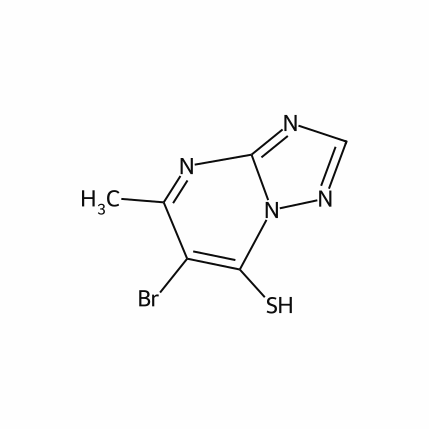 Cc1nc2ncnn2c(S)c1Br